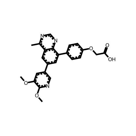 COc1cc(-c2cc(-c3ccc(OCC(=O)O)cc3)c3ncnc(C)c3c2)cnc1OC